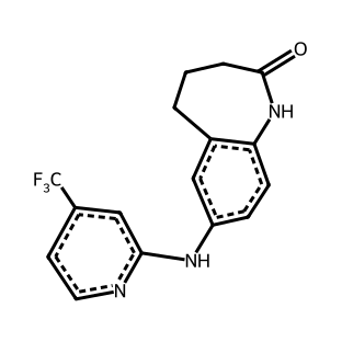 O=C1CCCc2cc(Nc3cc(C(F)(F)F)ccn3)ccc2N1